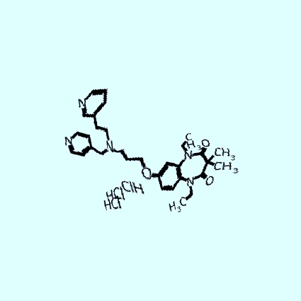 CCN1C(=O)C(C)(C)C(=O)N(CC)c2cc(OCCCN(CCc3cccnc3)Cc3ccncc3)ccc21.Cl.Cl.Cl